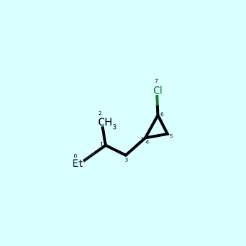 CCC(C)C[C]1CC1Cl